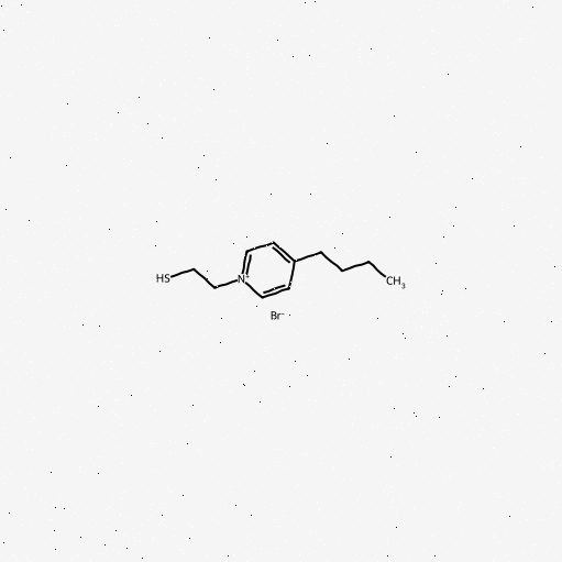 CCCCc1cc[n+](CCS)cc1.[Br-]